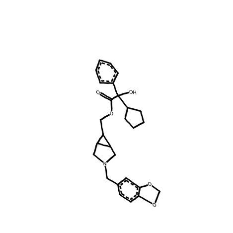 O=C(OCC1C2CN(Cc3ccc4c(c3)OCO4)CC12)C(O)(c1ccccc1)C1CCCC1